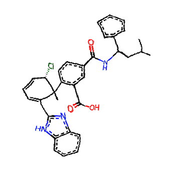 CC(C)CC(NC(=O)c1ccc(C2(C)C(c3nc4ccccc4[nH]3)=CC=C[C@@H]2Cl)c(C(=O)O)c1)c1ccccc1